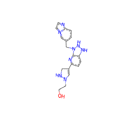 OCCN1C=C(c2ccc3c(n2)N(Cc2ccc4nccn4c2)NN3)CN1